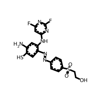 Nc1cc(Nc2cc(F)nc(F)n2)c(/N=N/c2ccc(S(=O)(=O)CCO)cc2)cc1S